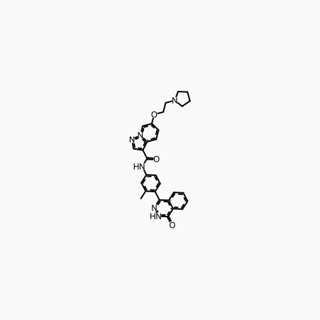 Cc1cc(NC(=O)c2cnn3cc(OCCN4CCCC4)ccc23)ccc1-c1n[nH]c(=O)c2ccccc12